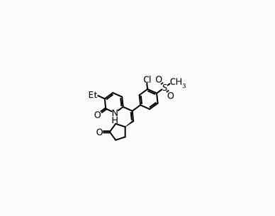 CCc1ccc(/C(=C\[C@H]2CCC(=O)C2)c2ccc(S(C)(=O)=O)c(Cl)c2)[nH]c1=O